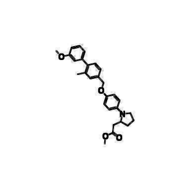 COC(=O)CC1CCCN1c1ccc(OCc2ccc(-c3cccc(OC)c3)c(C)c2)cc1